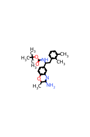 Cc1cccc(CC(NC(=O)OC(C)(C)C)c2ccc3c(c2)N=C(N)C(C)O3)c1C